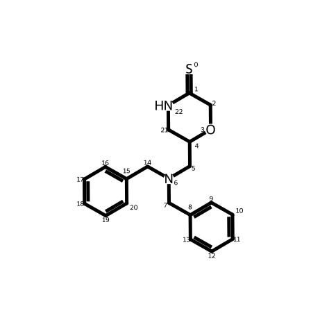 S=C1COC(CN(Cc2ccccc2)Cc2ccccc2)CN1